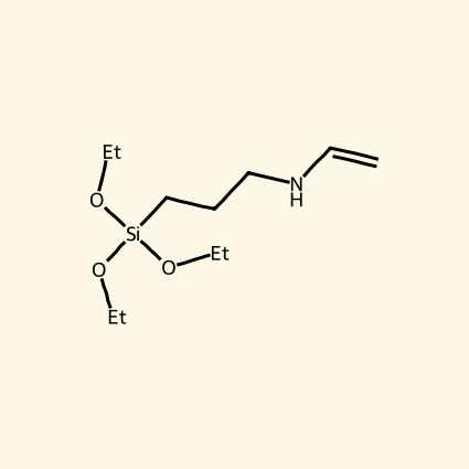 C=CNCCC[Si](OCC)(OCC)OCC